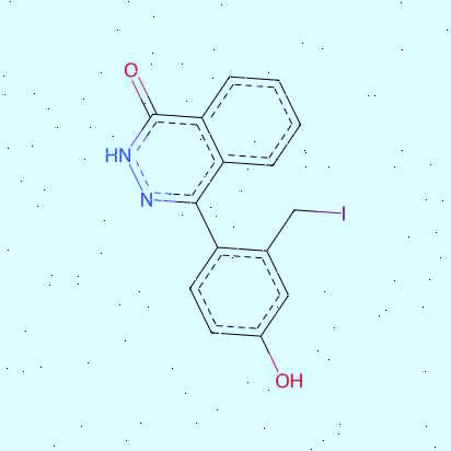 O=c1[nH]nc(-c2ccc(O)cc2CI)c2ccccc12